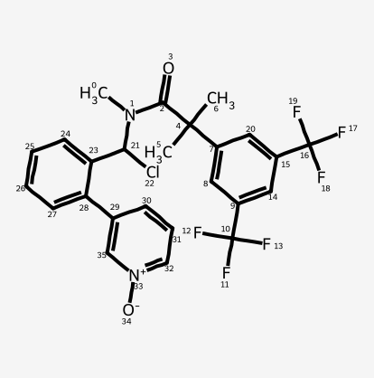 CN(C(=O)C(C)(C)c1cc(C(F)(F)F)cc(C(F)(F)F)c1)C(Cl)c1ccccc1-c1ccc[n+]([O-])c1